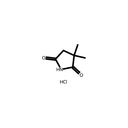 CC1(C)CC(=O)NC1=O.Cl